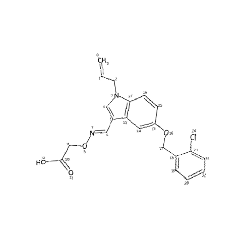 C=CCn1cc(C=NOCC(=O)O)c2cc(OCc3ccccc3Cl)ccc21